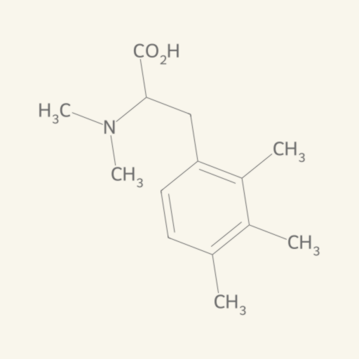 Cc1ccc(CC(C(=O)O)N(C)C)c(C)c1C